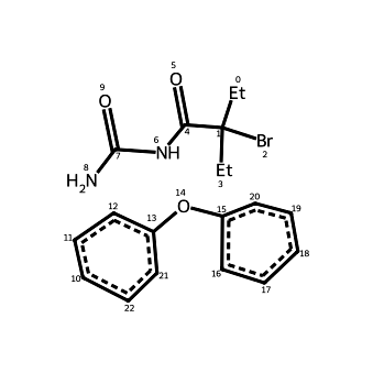 CCC(Br)(CC)C(=O)NC(N)=O.c1ccc(Oc2ccccc2)cc1